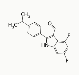 CC(C)c1ccc(-c2[nH]c3cc(F)cc(F)c3c2C=O)cc1